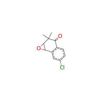 CC1(C)C(=O)c2ccc(Cl)cc2C2OC21